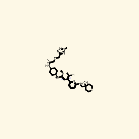 C=N/C(=C\C(=C(/C)Cl)c1cccc(NCC2(C#N)CCOCC2)n1)N[C@H]1CC[C@H](N[C@H](C)COCc2nnn(C)n2)CC1